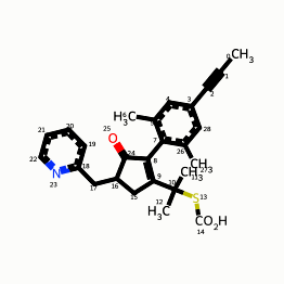 CC#Cc1cc(C)c(C2=C(C(C)(C)SC(=O)O)CC(Cc3ccccn3)C2=O)c(C)c1